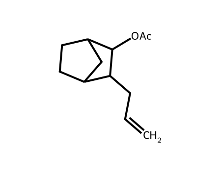 C=CCC1C2CCC(C2)C1OC(C)=O